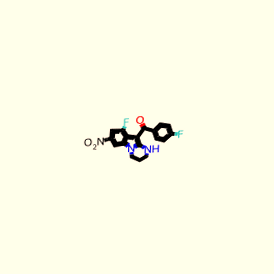 O=C(c1ccc(F)cc1)c1c2n(c3cc([N+](=O)[O-])cc(F)c13)CCCN2